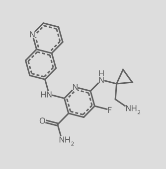 NCC1(Nc2nc(Nc3ccc4ncccc4c3)c(C(N)=O)cc2F)CC1